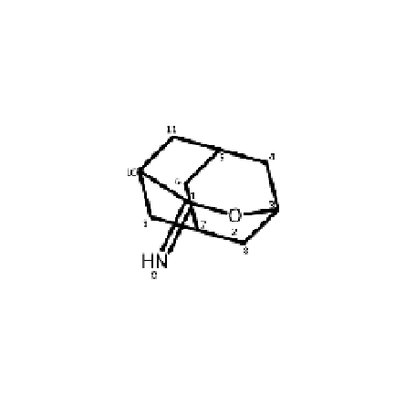 N=C1OC2CC3CC(C2)CC1C3